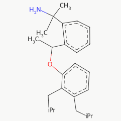 CC(C)Cc1cccc(OC(C)c2ccccc2C(C)(C)N)c1CC(C)C